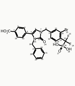 O=C(O)c1ccc(-c2cn(Cc3ccc(C(F)(F)P(=O)(O)O)c(Br)c3)c(=O)n2Cc2ccccc2)cc1